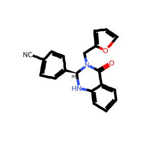 N#Cc1ccc([C@@H]2Nc3ccccc3C(=O)N2Cc2ccco2)cc1